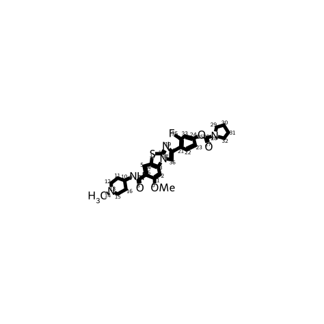 COc1cc2c(cc1C(=O)NC1CCN(C)CC1)sc1nc(-c3ccc(OC(=O)N4CCCC4)cc3F)cn12